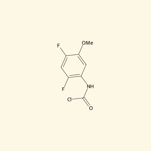 COc1cc(NC(=O)Cl)c(F)cc1F